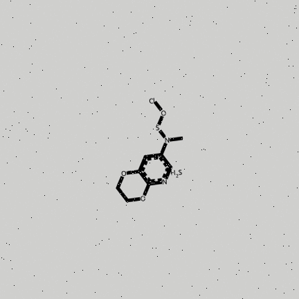 CN(SOCl)c1cnc2c(c1)OCCO2.S